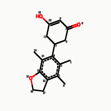 Cc1c(C)c(C2CC(=O)C=C(O)C2)c(C)c2c1CCO2